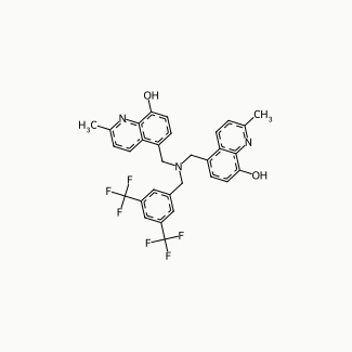 Cc1ccc2c(CN(Cc3cc(C(F)(F)F)cc(C(F)(F)F)c3)Cc3ccc(O)c4nc(C)ccc34)ccc(O)c2n1